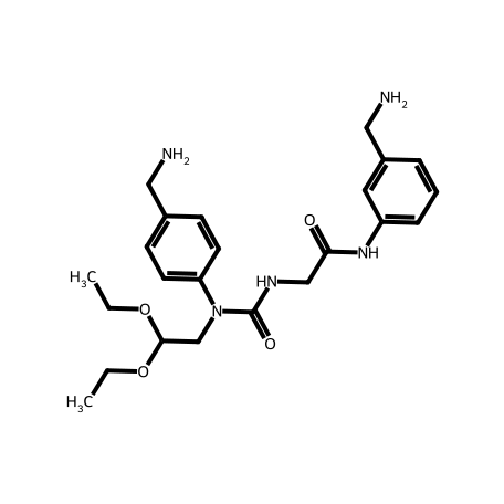 CCOC(CN(C(=O)NCC(=O)Nc1cccc(CN)c1)c1ccc(CN)cc1)OCC